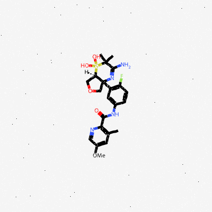 COc1cnc(C(=O)Nc2ccc(F)c(C34COC[C@H]3S(O)(O)C(C)(C)C(N)=N4)c2)c(C)c1